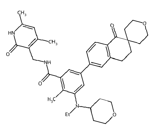 CCN(c1cc(-c2ccc3c(c2)CCC2(CCOCC2)C3=O)cc(C(=O)NCc2c(C)cc(C)[nH]c2=O)c1C)C1CCOCC1